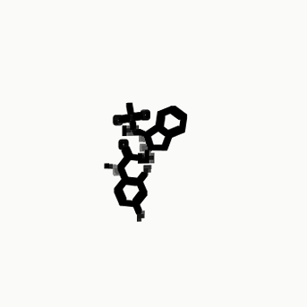 C[C@H](C(=O)N[C@H]1Cc2ccccc2[C@@H]1NS(C)(=O)=O)c1ccc(F)cc1F